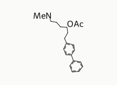 CNCCCC(CCc1ccc(-c2ccccc2)cc1)OC(C)=O